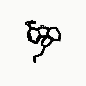 C=CCN1CCC23c4cccc(OC)c4OC2CCCC3C1